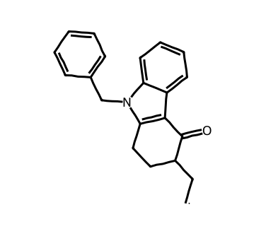 [CH2]CC1CCc2c(c3ccccc3n2Cc2ccccc2)C1=O